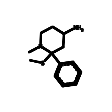 CSC1(c2ccccc2)CC(N)CCN1C